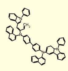 C=C/C(=C\c1cn(-c2ccccc2)c2ccccc12)N(c1ccc(-c2ccc(N(C3=CCC4C(=C3)c3ccccc3N4c3ccccc3)c3cccc4ccccc34)cc2)cc1)c1cccc2ccccc12